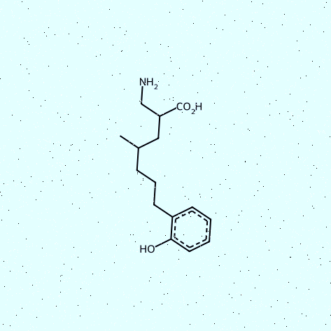 CC(CCCc1ccccc1O)CC(CN)C(=O)O